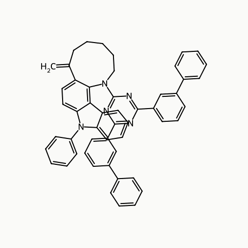 C=C1CCCCCN(c2nc(-c3cccc(-c4ccccc4)c3)nc(-c3cccc(-c4ccccc4)c3)n2)c2c1ccc1c2c2ccccc2n1-c1ccccc1